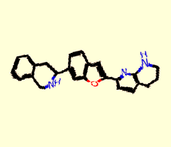 c1ccc2c(c1)CNC(c1ccc3cc(-c4ccc5c(n4)NCCC5)oc3c1)C2